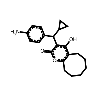 Nc1ccc(C(c2c(O)c3c(oc2=O)CCCCCC3)C2CC2)cc1